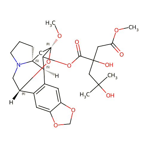 COC(=O)CC(O)(CC(C)(C)O)C(=O)OC1[C@H]2c3cc4c(cc3[C@@H]3CN5CCC[C@]25C[C@@]1(OC)O3)OCO4